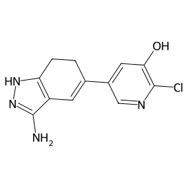 Nc1n[nH]c2c1C=C(c1cnc(Cl)c(O)c1)CC2